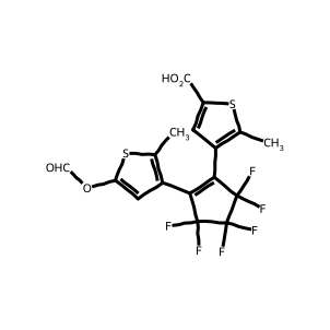 Cc1sc(OC=O)cc1C1=C(c2cc(C(=O)O)sc2C)C(F)(F)C(F)(F)C1(F)F